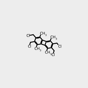 Cc1c(CCl)c(CCl)c(C)c2c1-c1c(C)c(CCl)c(CCl)c(C)c1-2